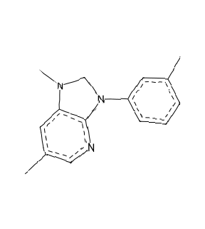 Cc1cccc(N2CN(C)c3cc(C)cnc32)c1